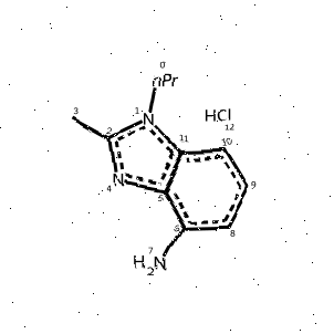 CCCn1c(C)nc2c(N)cccc21.Cl